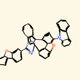 c1ccc(-c2nc(-c3ccc4c(c3)oc3ccccc34)nc(-c3cccc4oc5c(-n6c7ccccc7c7ccccc76)ccc(-c6ccccc6)c5c34)n2)cc1